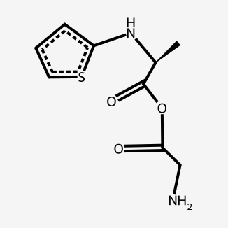 C[C@H](Nc1cccs1)C(=O)OC(=O)CN